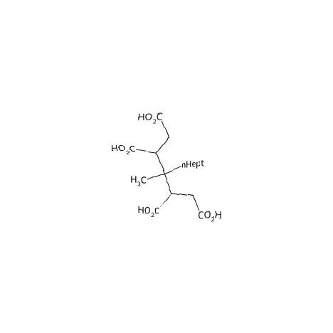 CCCCCCCC(C)(C(CC(=O)O)C(=O)O)C(CC(=O)O)C(=O)O